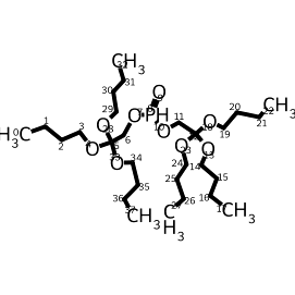 CCCCOC(CO[PH](=O)OCC(OCCCC)(OCCCC)OCCCC)(OCCCC)OCCCC